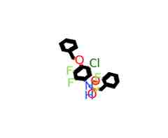 O=S(=O)(Cc1ccccc1F)Nc1cc(Cl)c(OCc2ccccc2)c(F)c1F